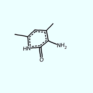 Cc1cc(C)c(N)c(=O)[nH]1